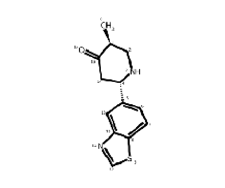 C[C@H]1CN[C@H](c2ccc3scnc3c2)CC1=O